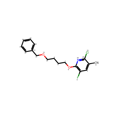 N#Cc1cc(F)c(OCCCCOCc2ccccc2)nc1Cl